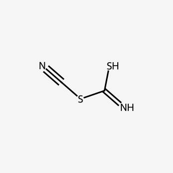 N#CSC(=N)S